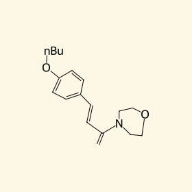 C=C(/C=C/c1ccc(OCCCC)cc1)N1CCOCC1